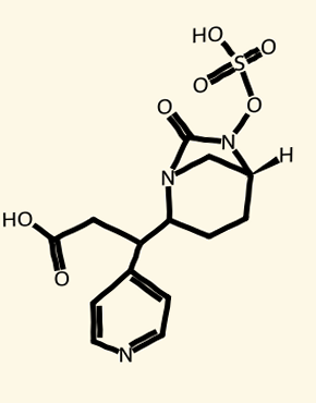 O=C(O)CC(c1ccncc1)C1CC[C@@H]2CN1C(=O)N2OS(=O)(=O)O